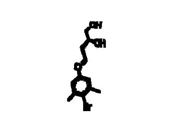 Cc1cc(OCC[C@H](O)CO)cc(C)c1Br